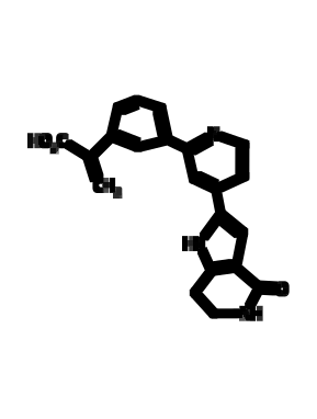 C=C(C(=O)O)c1cccc(-c2cc(-c3cc4c([nH]3)CCNC4=O)ccn2)c1